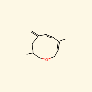 C=C1/C=C\C(C)=C/COCC(C)C1